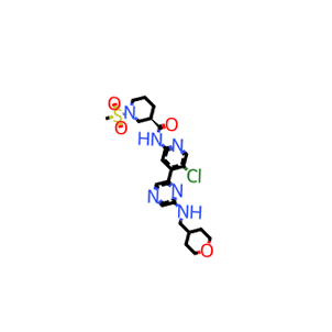 CS(=O)(=O)N1CCC[C@@H](C(=O)Nc2cc(-c3cncc(NCC4CCOCC4)n3)c(Cl)cn2)C1